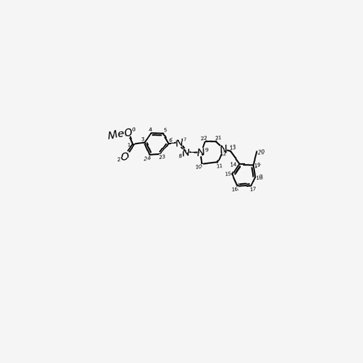 COC(=O)c1ccc(N=NN2CCN(Cc3ccccc3C)CC2)cc1